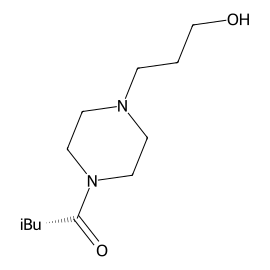 CC[C@@H](C)C(=O)N1CCN(CCCO)CC1